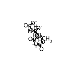 CCl.O=[PH]([O-])O[PH](=O)[O-].O=[PH]([O-])O[PH](=O)[O-].[Ti+4]